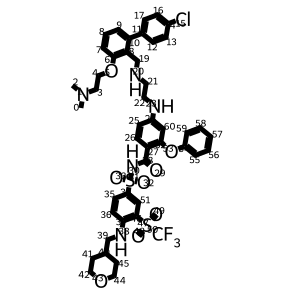 CN(C)CCOc1cccc(-c2ccc(Cl)cc2)c1CNCCNc1ccc(C(=O)NS(=O)(=O)c2ccc(NCC3CCOCC3)c(S(=O)(=O)C(F)(F)F)c2)c(Oc2ccccc2)c1